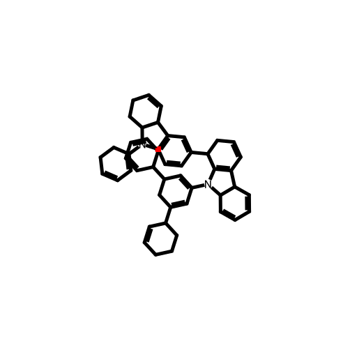 C1=CCCC(N2c3ccc(C4CC=CC5=C4N(C4=CC(C6C=CC=CC6)CC(C6C=CCCC6)=C4)C4C=CC=CC54)cc3C3C=CCCC32)=C1